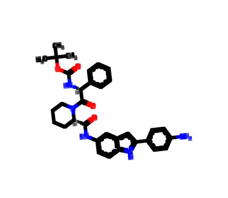 CC(C)(C)OC(=O)N[C@@H](C(=O)N1CCCC[C@H]1C(=O)Nc1ccc2[nH]c(-c3ccc(N)cc3)cc2c1)c1ccccc1